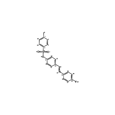 Cc1ccc(S(=O)(=O)Oc2ccc(/C=N/c3ccc(F)cc3)cc2)cc1